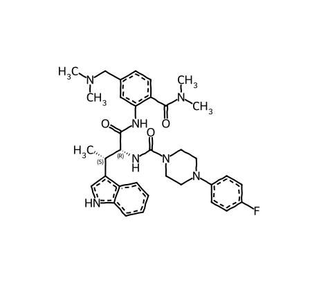 C[C@@H](c1c[nH]c2ccccc12)[C@@H](NC(=O)N1CCN(c2ccc(F)cc2)CC1)C(=O)Nc1cc(CN(C)C)ccc1C(=O)N(C)C